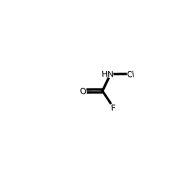 O=C(F)NCl